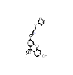 CCO[C@@]1(CC)c2ccc(O)cc2Oc2cc(O/C=C/CSc3cccnc3)ccc21